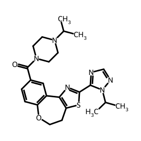 CC(C)N1CCN(C(=O)c2ccc3c(c2)-c2nc(-c4ncnn4C(C)C)sc2CCO3)CC1